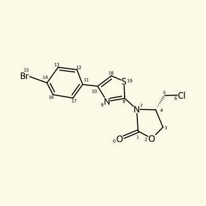 O=C1OC[C@@H](CCl)N1c1nc(-c2ccc(Br)cc2)cs1